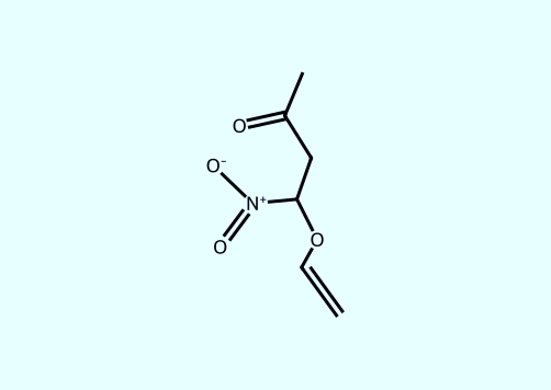 C=COC(CC(C)=O)[N+](=O)[O-]